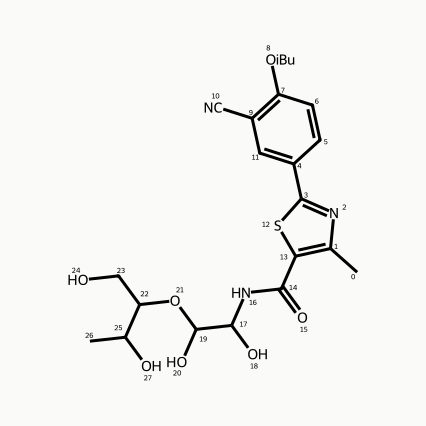 Cc1nc(-c2ccc(OCC(C)C)c(C#N)c2)sc1C(=O)NC(O)C(O)OC(CO)C(C)O